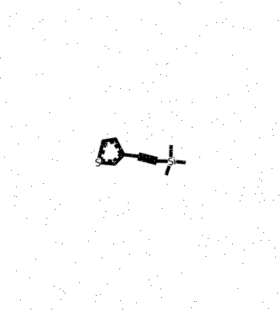 C[Si](C)(C)C#Cc1ccsc1